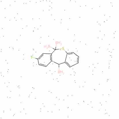 BC1c2ccccc2SC(B)(B)c2cc(F)ccc21